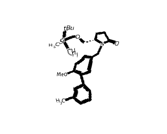 COc1ccc(CN2C(=O)CC[C@H]2CO[Si](C)(C)C(C)(C)C)cc1-c1cccc(C)c1